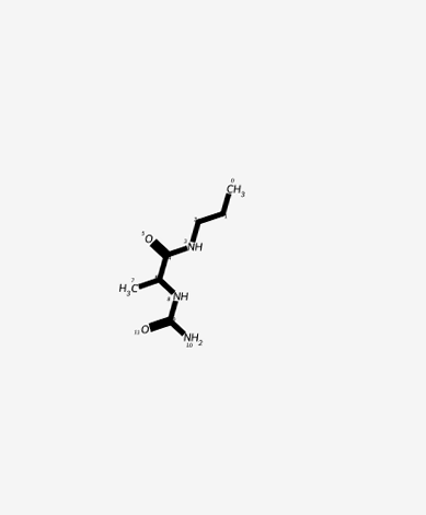 CCCNC(=O)C(C)NC(N)=O